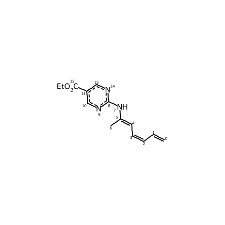 C=C/C=C\C=C(/C)Nc1ncc(C(=O)OCC)cn1